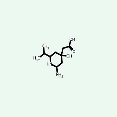 CC(C)C1CC(O)(CC(=O)O)CC(N)N1